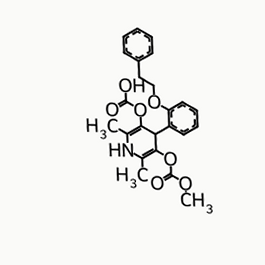 COC(=O)OC1=C(C)NC(C)=C(OC(=O)O)C1c1ccccc1OCCc1ccccc1